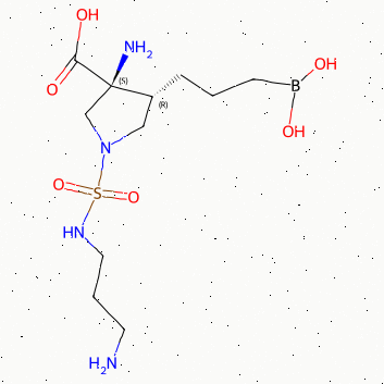 NCCCNS(=O)(=O)N1C[C@@H](CCCB(O)O)[C@@](N)(C(=O)O)C1